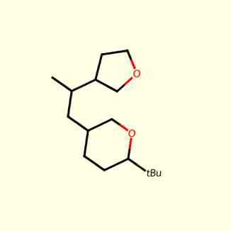 CC(CC1CCC(C(C)(C)C)OC1)C1CCOC1